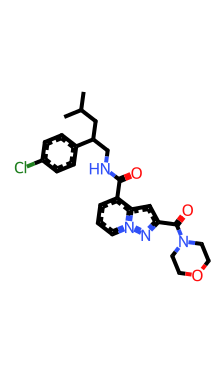 CC(C)CC(CNC(=O)c1cccn2nc(C(=O)N3CCOCC3)cc12)c1ccc(Cl)cc1